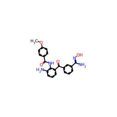 COc1ccc(C(=O)Nc2c(N)cccc2C(=O)c2cccc(C(N)=NO)c2)cc1